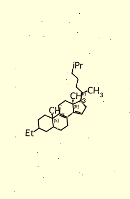 CCC1CC[C@]2(C)C3=C(CCC2C1)C1=CC[C@H]([C@H](C)CCCC(C)C)[C@@]1(C)CC3